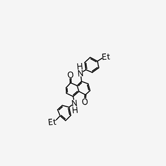 CCc1ccc(NC2=C3C(=O)C=CC(Nc4ccc(CC)cc4)=C3C(=O)C=C2)cc1